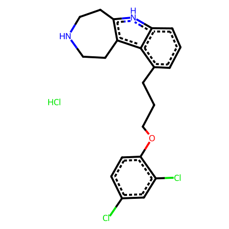 Cl.Clc1ccc(OCCCc2cccc3[nH]c4c(c23)CCNCC4)c(Cl)c1